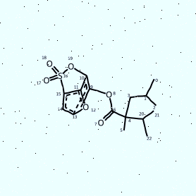 CC(C)CC(C)(C(=O)Oc1c2c3oc1cc3S(=O)(=O)O2)C(C)C